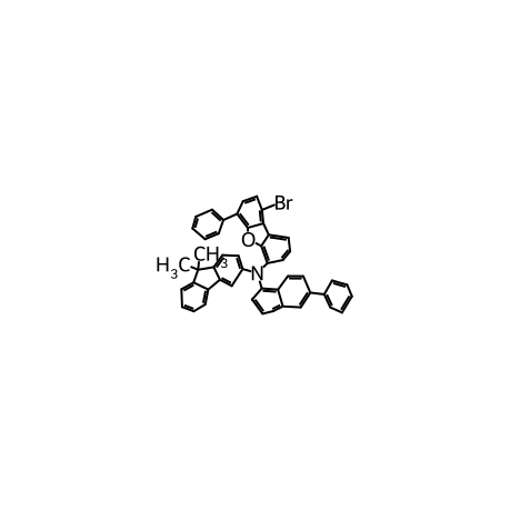 CC1(C)c2ccccc2-c2cc(N(c3cccc4cc(-c5ccccc5)ccc34)c3cccc4c3oc3c(-c5ccccc5)ccc(Br)c34)ccc21